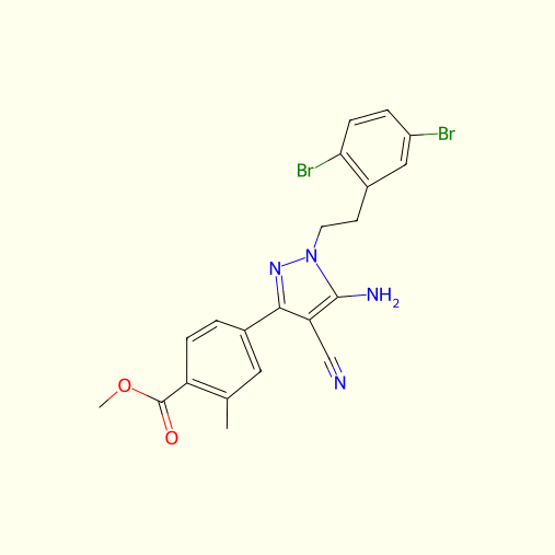 COC(=O)c1ccc(-c2nn(CCc3cc(Br)ccc3Br)c(N)c2C#N)cc1C